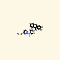 COc1ccnc(NC2CCN(CC34CC(c5ccccc53)c3ccc(Cl)cc34)CC2)n1